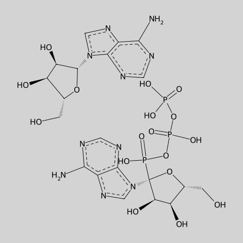 Nc1ncnc2c1ncn2[C@@H]1O[C@H](CO)[C@@H](O)[C@H]1O.Nc1ncnc2c1ncn2[C@]1(P(=O)(O)OP(=O)(O)OP(=O)(O)O)O[C@H](CO)[C@@H](O)[C@H]1O